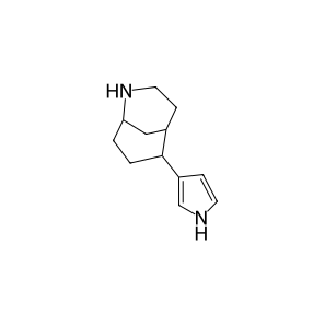 c1cc(C2CCC3CC2CCN3)c[nH]1